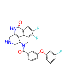 CN(C(=O)c1cccc(Oc2cccc(F)c2)c1)C1CNCc2[nH]c(=O)c3cc(F)c(F)cc3c21